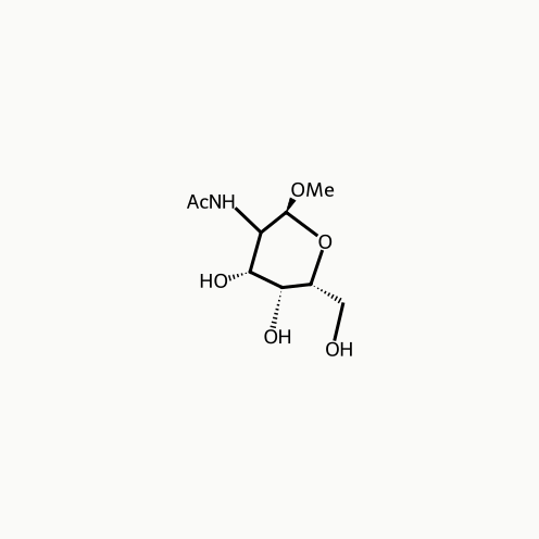 CO[C@H]1O[C@H](CO)[C@H](O)[C@H](O)C1NC(C)=O